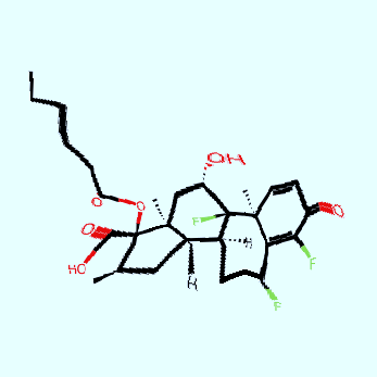 CCCCCC(=O)O[C@]1(C(=O)O)[C@H](C)C[C@H]2[C@@H]3C[C@H](F)C4=C(F)C(=O)C=C[C@]4(C)[C@@]3(F)[C@@H](O)C[C@@]21C